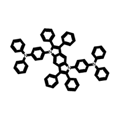 c1ccc(-c2c(-c3ccccc3)n(-c3ccc(N(c4ccccc4)c4ccccc4)cc3)c3cc4c(-c5ccccc5)c(-c5ccccc5)n(-c5ccc(N(c6ccccc6)c6ccccc6)cc5)c4cc23)cc1